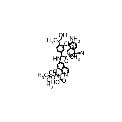 Cc1cc(C(Nc2ccc3c(N(C(=O)O)C(=O)OC(C)(C)C)nccc3c2)C(=O)N(C)Cc2cc(N)ccc2C2(C#N)CC2)ccc1[C@@H](C)CO